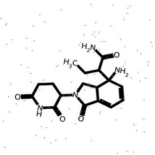 CCC(C(N)=O)C1(N)C=CC=C2C(=O)N(C3CCC(=O)NC3=O)CC21